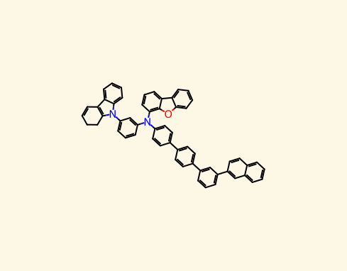 C1=Cc2c(n(-c3cccc(N(c4ccc(-c5ccc(-c6cccc(-c7ccc8ccccc8c7)c6)cc5)cc4)c4cccc5c4oc4ccccc45)c3)c3ccccc23)CC1